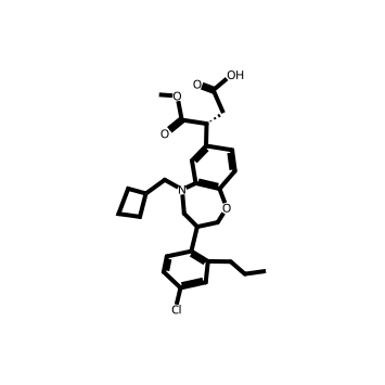 CCCc1cc(Cl)ccc1C1COc2ccc([C@@H](CC(=O)O)C(=O)OC)cc2N(CC2CCC2)C1